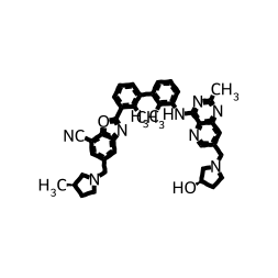 Cc1nc(Nc2cccc(-c3cccc(-c4nc5cc(CN6CC[C@@H](C)C6)cc(C#N)c5o4)c3C)c2C)c2ncc(CN3CC[C@@H](O)C3)cc2n1